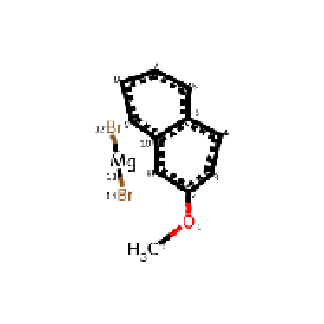 COc1ccc2[c]cccc2c1.[Br][Mg][Br]